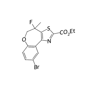 CCOC(=O)c1nc2c(s1)C(C)(F)COc1ccc(Br)cc1-2